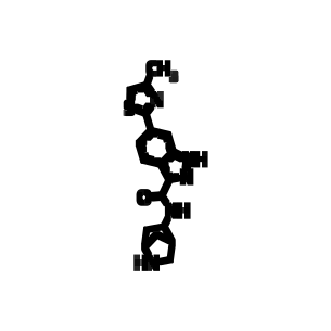 Cc1csc(-c2ccc3c(C(=O)NC4CC5CC4CN5)n[nH]c3c2)n1